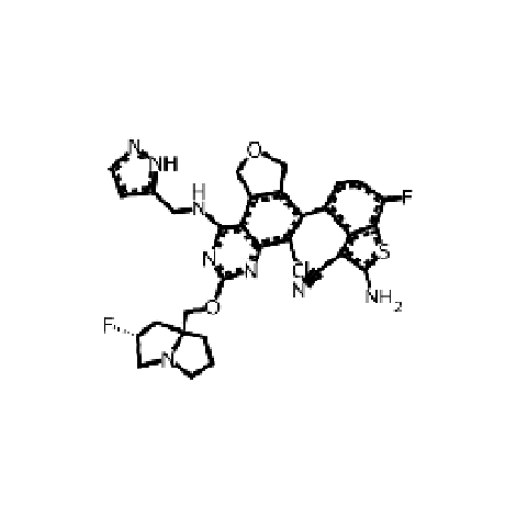 N#Cc1c(N)sc2c(F)ccc(-c3c4c(c5c(NCc6ccn[nH]6)nc(OC[C@@]67CCCN6C[C@H](F)C7)nc5c3Cl)COC4)c12